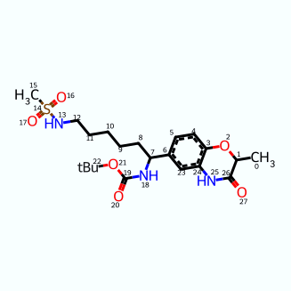 CC1Oc2ccc(C(CCCCCNS(C)(=O)=O)NC(=O)OC(C)(C)C)cc2NC1=O